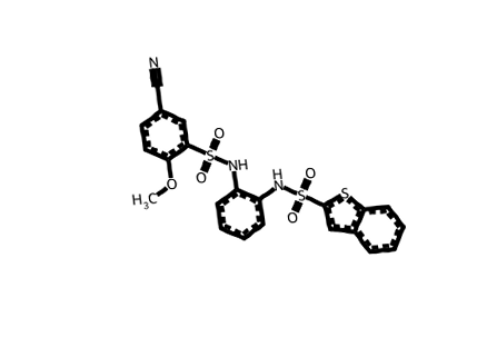 COc1ccc(C#N)cc1S(=O)(=O)Nc1ccccc1NS(=O)(=O)c1cc2ccccc2s1